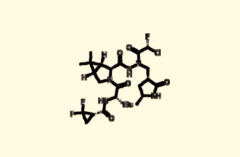 C[C@H]1C[C@@H](CN(NC(=O)[C@@H]2[C@@H]3[C@H](CN2C(=O)[C@@H](NC(=O)[C@@H]2CC2(F)F)C(C)(C)C)C3(C)C)C(=O)[C@H](F)Cl)C(=O)N1